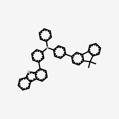 CC1(C)c2ccccc2-c2cc(-c3ccc(N(c4ccccc4)c4cccc(-c5cccc6c5oc5ccccc56)c4)cc3)ccc21